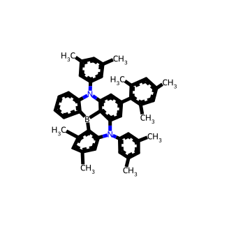 Cc1cc(C)cc(N2c3ccccc3B3c4c(C)cc(C)cc4N(c4cc(C)cc(C)c4)c4cc(-c5c(C)cc(C)cc5C)cc2c43)c1